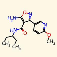 CCC(CC)NC(=O)c1c(-c2ccc(OC)nc2)noc1N